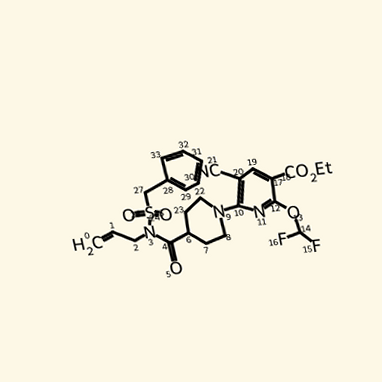 C=CCN(C(=O)C1CCN(c2nc(OC(F)F)c(C(=O)OCC)cc2C#N)CC1)S(=O)(=O)Cc1ccccc1